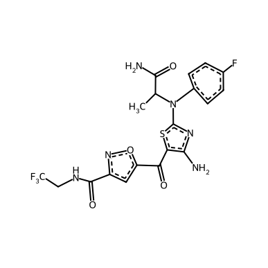 CC(C(N)=O)N(c1ccc(F)cc1)c1nc(N)c(C(=O)c2cc(C(=O)NCC(F)(F)F)no2)s1